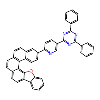 c1ccc(-c2nc(-c3ccccc3)nc(-c3ccc(-c4ccc5c(ccc6ccc7ccc8c9ccccc9oc8c7c65)c4)nc3)n2)cc1